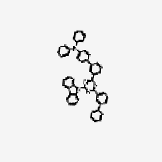 c1ccc(-c2cccc(-c3nc(-c4cccc(-c5ccc(N(c6ccccc6)c6ccccc6)cc5)c4)nc(-n4c5ccccc5c5ccccc54)n3)c2)cc1